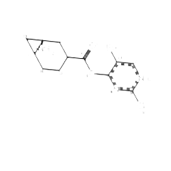 NC12CC(C(=O)Oc3nc(Cl)ncc3F)CCC1C2